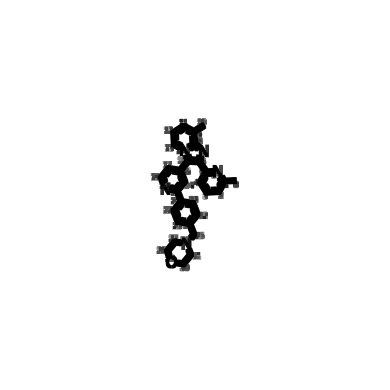 Cc1cccc(-c2nc3c(C)cccn3c2-c2ccnc(-c3ccc(CN4CCOCC4)cc3)c2)n1